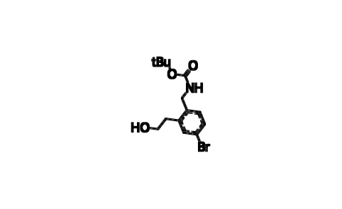 CC(C)(C)OC(=O)NCc1ccc(Br)cc1CCO